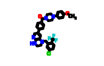 COc1ccc(N2CCN(C(=O)c3ccc(-c4cnc5c(c4)N(Cc4cc(Cl)ccc4C(F)(F)F)CCN5)cc3)CC2)cc1